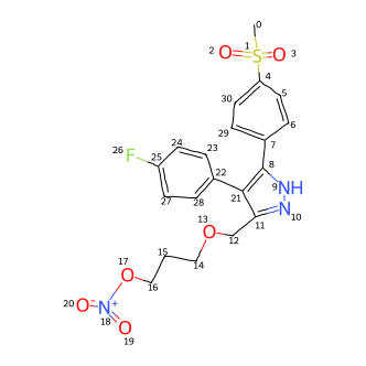 CS(=O)(=O)c1ccc(-c2[nH]nc(COCCCO[N+](=O)[O-])c2-c2ccc(F)cc2)cc1